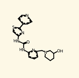 O=C(Nc1cccc(CN2CCCC(O)C2)n1)Nc1csc(-c2ccncc2)n1